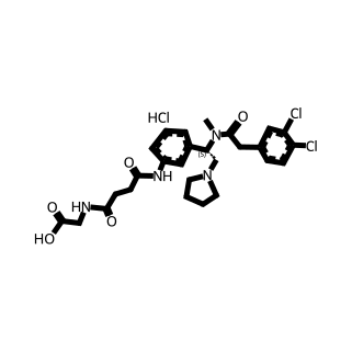 CN(C(=O)Cc1ccc(Cl)c(Cl)c1)[C@H](CN1CCCC1)c1cccc(NC(=O)CCC(=O)NCC(=O)O)c1.Cl